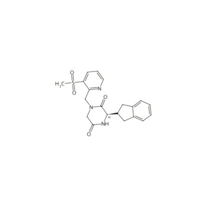 CS(=O)(=O)c1cccnc1CN1CC(=O)N[C@H](C2Cc3ccccc3C2)C1=O